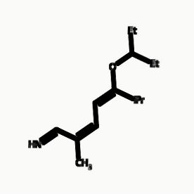 CCC(CC)O/C(=C/C=C(/C)C=N)C(C)C